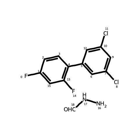 Fc1ccc(-c2cc(Cl)cc(Cl)c2)c(F)c1.NNC=O